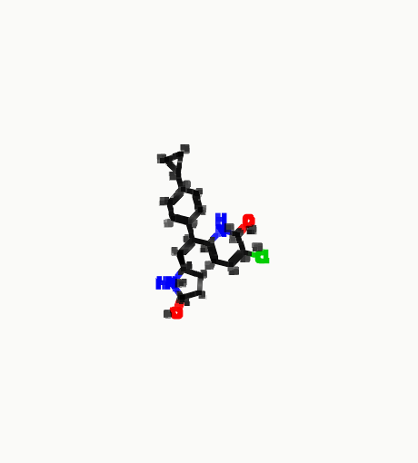 O=C1CC[C@H](C=C(c2ccc(C3CC3)cc2)c2ccc(Cl)c(=O)[nH]2)N1